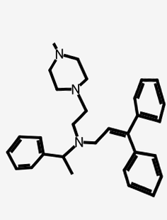 CC(c1ccccc1)N(CC=C(c1ccccc1)c1ccccc1)CCN1CCN(C)CC1